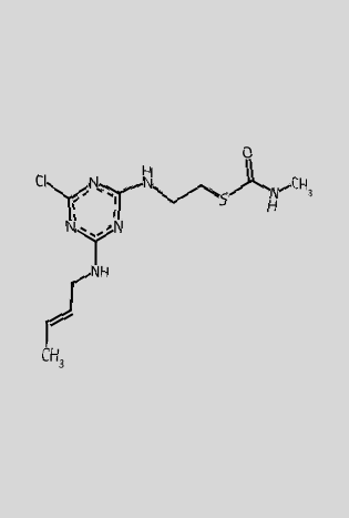 C/C=C/CNc1nc(Cl)nc(NCCSC(=O)NC)n1